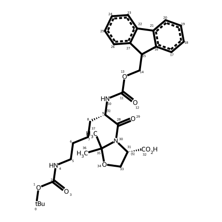 CC(C)(C)OC(=O)NCCCC[C@H](NC(=O)OCC1c2ccccc2-c2ccccc21)C(=O)N1[C@H](C(=O)O)COC1(C)C